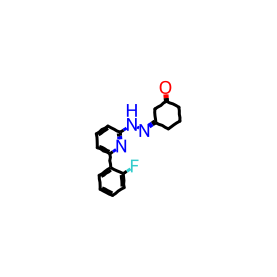 O=C1CCCC(=NNc2cccc(-c3ccccc3F)n2)C1